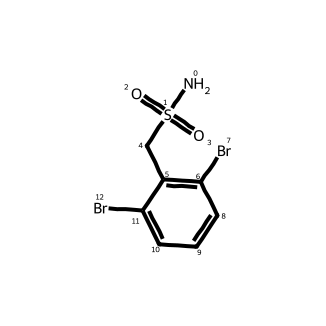 NS(=O)(=O)Cc1c(Br)cccc1Br